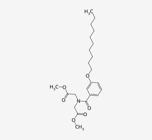 CCCCCCCCCCOc1cccc(C(=O)N(CC(=O)OC)CC(=O)OC)c1